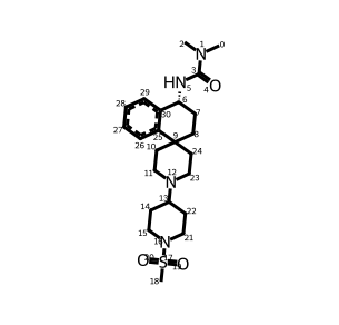 CN(C)C(=O)N[C@@H]1CCC2(CCN(C3CCN(S(C)(=O)=O)CC3)CC2)c2ccccc21